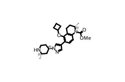 COC(=O)N1c2ccc(-c3cnn([C@@H]4CCN[C@@H](C)C4)c3)c(OC3CCC3)c2CC[C@@H]1C